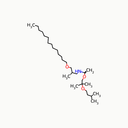 C=C(NCC(C)COCCCCCCCCCCCCCC)OCC(C)(C)OCCC(C)C